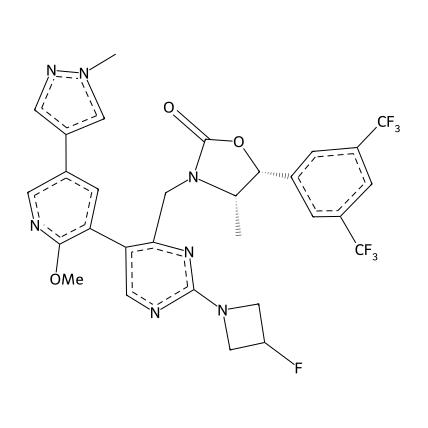 COc1ncc(-c2cnn(C)c2)cc1-c1cnc(N2CC(F)C2)nc1CN1C(=O)O[C@H](c2cc(C(F)(F)F)cc(C(F)(F)F)c2)[C@@H]1C